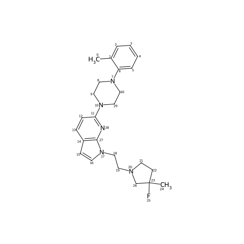 Cc1ccccc1N1CCN(c2ccc3ccn(CCN4CCC(C)(F)C4)c3n2)CC1